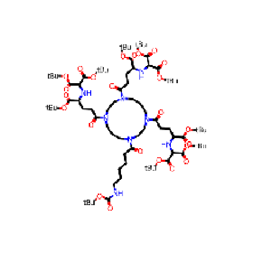 CC(C)(C)OC(=O)NCCCCCC(=O)N1CCCN(C(=O)CCC(NC(C(=O)OC(C)(C)C)C(=O)OC(C)(C)C)C(=O)OC(C)(C)C)CCN(C(=O)CCC(NC(C(=O)OC(C)(C)C)C(=O)OC(C)(C)C)C(=O)OC(C)(C)C)CCCN(C(=O)CCC(NC(C(=O)OC(C)(C)C)C(=O)OC(C)(C)C)C(=O)OC(C)(C)C)CC1